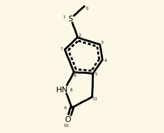 CSc1ccc2c(c1)NC(=O)C2